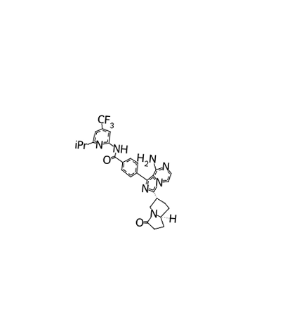 CC(C)c1cc(C(F)(F)F)cc(NC(=O)c2ccc(-c3nc([C@@H]4CC[C@H]5CCC(=O)N5C4)n4ccnc(N)c34)cc2)n1